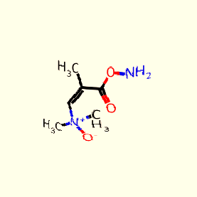 CC(=C[N+](C)(C)[O-])C(=O)ON